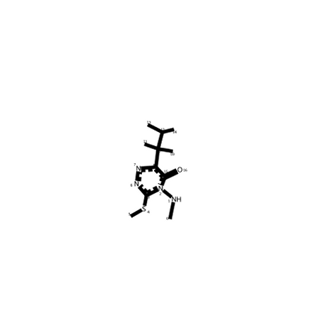 CNn1c(SC)nnc(C(C)(C)C(C)C)c1=O